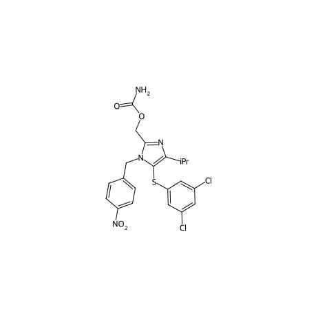 CC(C)c1nc(COC(N)=O)n(Cc2ccc([N+](=O)[O-])cc2)c1Sc1cc(Cl)cc(Cl)c1